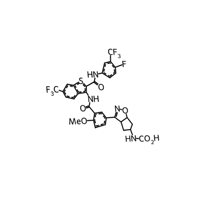 COc1ccc(C2=NOC3CC(NC(=O)O)CC23)cc1C(=O)Nc1c(C(=O)Nc2ccc(F)c(C(F)(F)F)c2)sc2cc(C(F)(F)F)ccc12